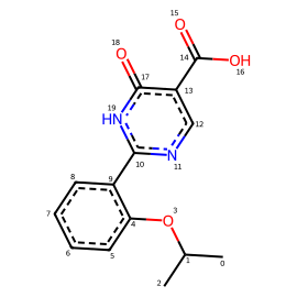 CC(C)Oc1ccccc1-c1ncc(C(=O)O)c(=O)[nH]1